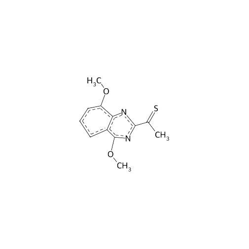 COc1nc(C(C)=S)nc2c(OC)cccc12